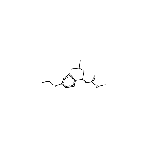 CCOc1ccc([C@H](CC(=O)OC)OC(C)C)cc1